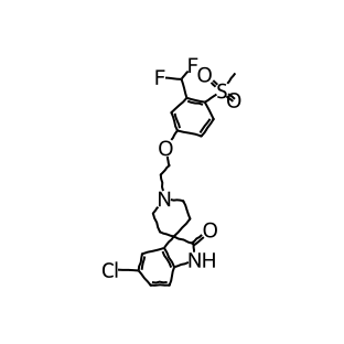 CS(=O)(=O)c1ccc(OCCN2CCC3(CC2)C(=O)Nc2ccc(Cl)cc23)cc1C(F)F